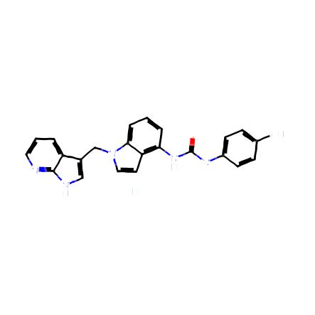 Cc1ccc(NC(=O)Nc2cccc3c2ccn3Cc2c[nH]c3ncccc23)cc1.Cl